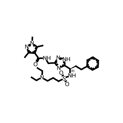 CCN(CC)CCCS(=O)(=O)N[C@H](CCc1ccccc1)c1nc(CNC(=O)c2c(C)nn(C)c2C)n[nH]1